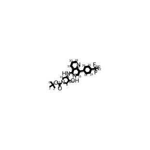 CC(C)(C)OC(=O)N1C[C@H](O)[C@H](Nc2ncc(-c3ccc(C(F)(F)F)cc3)c3ncccc23)C1